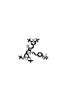 CC(C)(C)SC1=CC(=CC2=C(NCCc3ccccc3)C(=Cc3cc(C(C)(C)C)[s+]c(C(C)(C)C)c3)C2=O)C=C(SC(C)(C)C)O1.F[B-](F)(F)F